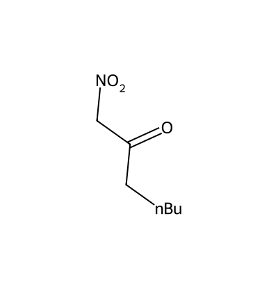 CCCCCC(=O)C[N+](=O)[O-]